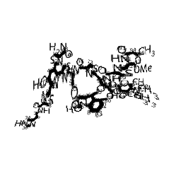 COC1=C(c2nc(C(=O)N[C@@H]3c4nc(cs4)C(=O)N[C@H](c4nc(-c5nc(-c6nc(C(=O)NCCc7c[nH]cn7)cs6)c(O)cc5-c5nc(C(N)=O)cs5)cs4)COC(=O)C4C5CO[C@@H]3[C@H](O[C@H]3C[C@](C)(O)[C@H](N(C)C)[C@H](C)O3)C(=O)OCc3cccc(c35)N4O)cs2)NC(=O)C[C@@H](C)O1